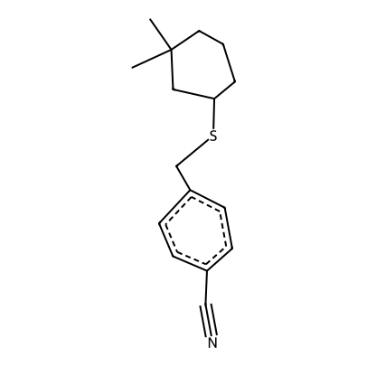 CC1(C)CCCC(SCc2ccc(C#N)cc2)C1